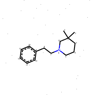 CC1(C)CCCN(CCc2ccccc2)C1